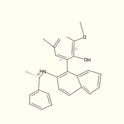 C=C(C)/C=C(\C(O)=C(/C)OC)c1c(N[C@@H](C)c2ccccc2)ccc2ccccc12